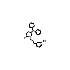 O=C1CCC(C(c2ccccc2)c2ccccc2)CN1CCCc1cccc(O)c1